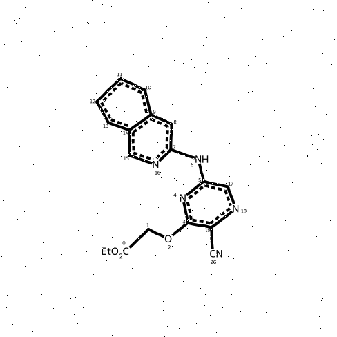 CCOC(=O)COc1nc(Nc2cc3ccccc3cn2)cnc1C#N